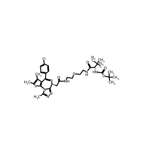 Cc1sc2c(c1C)C(c1ccc(Cl)cc1)=N[C@@H](CC(=O)NCCOCCNC(=O)[C@@H](NC(=O)OC(C)(C)C)C(C)(C)C)c1nnc(C)n1-2